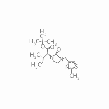 CC[C@H](C)[C@@H](C(=O)OC(C)(C)C)N1CCN(Cc2csc(C)n2)C1=O